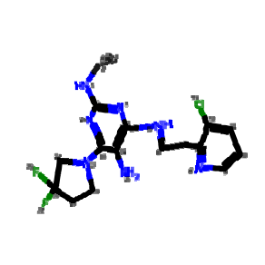 CC(C)(C)Nc1nc(NCc2ncccc2Cl)c(N)c(N2CCC(F)(F)C2)n1